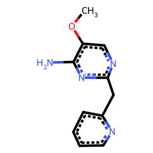 COc1cnc(Cc2ccccn2)nc1N